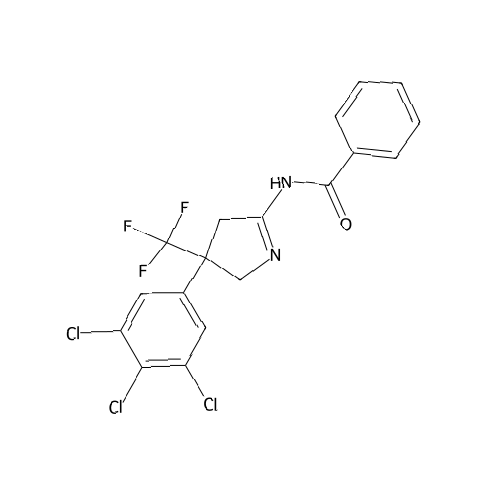 O=C(NC1=NCC(c2cc(Cl)c(Cl)c(Cl)c2)(C(F)(F)F)C1)c1ccccc1